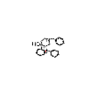 O=C(c1ccccc1)[C@H]1CN(Cc2ccccc2)CC[C@]1(O)c1ccccc1